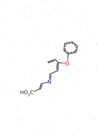 C=C\C(=C/C=N/C=C/C(=O)O)Oc1ccccc1